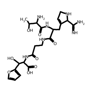 CC(O)C(N)C(=O)NC(CC1=CCNC1C(=N)N)C(=O)NCCC(=O)NC(C(=O)O)C(O)c1ccco1